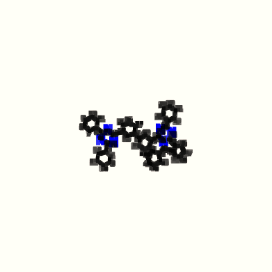 C1=CC(c2nc(-c3ccccc3)nc(-c3cccc(-c4cccc(-c5nc(-c6ccccc6)nc6c7ccccc7c(-c7ccccc7)n56)c4)c3)n2)=CCC1